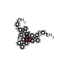 C=Cc1ccc(Oc2ccc(C3(c4ccc(F)cc4)c4ccccc4-c4ccc(N(c5ccc6c(c5)C5(c7ccccc7-6)c6ccccc6-c6ccc(N(c7ccc8c(c7)C(c7ccc(F)cc7)(c7ccc(Oc9ccc(C=C)cc9)cc7)c7ccccc7-8)c7ccccc7F)cc65)c5ccccc5F)cc43)cc2)cc1